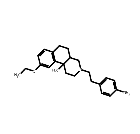 CCOc1ccc2c(c1)C1(C)CCN(CCc3ccc(N)cc3)CC1CC2